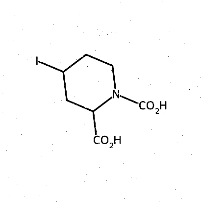 O=C(O)C1CC(I)CCN1C(=O)O